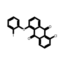 O=C1c2cccc(Sc3ccccc3I)c2C(=O)c2cccc(Cl)c21